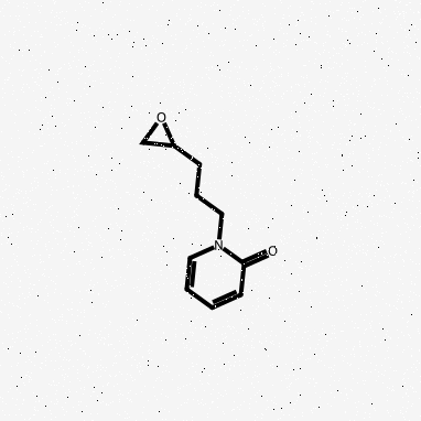 O=c1ccccn1CCCC1CO1